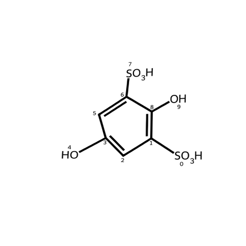 O=S(=O)(O)c1cc(O)cc(S(=O)(=O)O)c1O